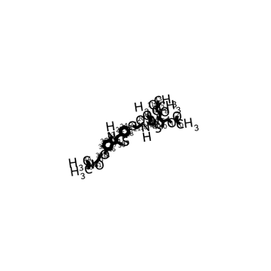 CC(=O)OCC1=C(C(=O)OC(C)(C)C)N2C(=O)C(NC(=O)COc3ccc4c(c3)SCc3c-4[nH]c4ccc(OCC5OC5N(C)C)cc34)C2SC1